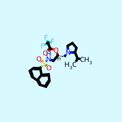 CC(C)C1CCCN1C[C@H](CNS(=O)(=O)c1cccc2ccccc12)OC(=O)C(F)(F)F